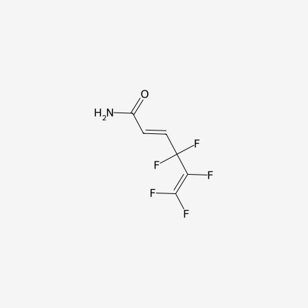 NC(=O)C=CC(F)(F)C(F)=C(F)F